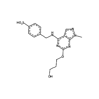 Cn1ncc2c(NCc3ccc(S(=O)(=O)O)cc3)nc(OCCCO)nc21